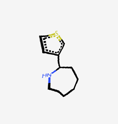 c1cc(C2CCCCCN2)cs1